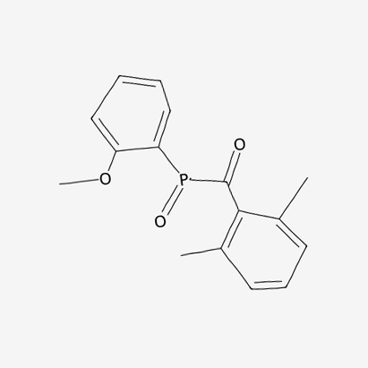 COc1ccccc1[P](=O)C(=O)c1c(C)cccc1C